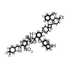 CCN1CCN(C2CC3(CCN(c4ccc(C(=O)NS(=O)(=O)c5cnc(NCC6CCC(C)(C)CC6)c([N+](=O)[O-])c5)c(Oc5cnc6[nH]ccc6c5)c4)CC3)C2)[C@H](c2ccccc2C(C)C)C1